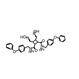 CCCN(Cc1ccc(Oc2ccccc2)cc1)C(=O)C1C(C=NO)C(C=NO)C1C(=O)N(CCC)Cc1ccc(Oc2ccccc2)cc1